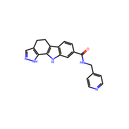 O=C(NCc1ccncc1)c1ccc2c3c([nH]c2c1)-c1[nH]ncc1CC3